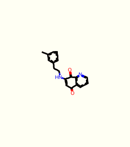 Cc1cccc(CCNC2=CC(=O)c3cccnc3C2=O)c1